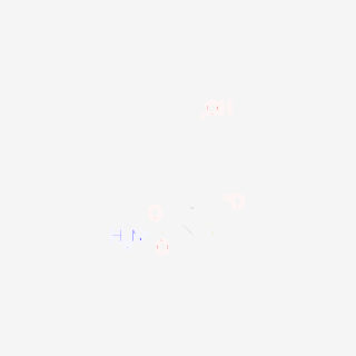 NS(=O)(=O)c1csc(C(=O)c2ccc(CO)cc2)c1